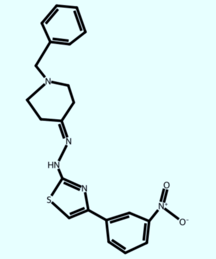 O=[N+]([O-])c1cccc(-c2csc(NN=C3CCN(Cc4ccccc4)CC3)n2)c1